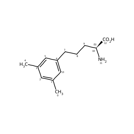 Cc1cc(C)cc(CCC[C@H](N)C(=O)O)c1